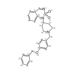 O=S1(=O)N=Cc2ccccc2N1C1CCN(Cc2ccc(OCc3ccccc3)cc2)CC1